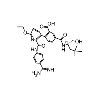 CCOc1ccc(-c2ccc(C(=O)N[C@H](CO)CC(C)(C)C)cc2C(=O)O)c(C(=O)Nc2ccc(C(=N)N)cc2)n1